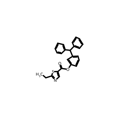 CCc1ncc(C(=O)Oc2cccc(C(c3ccccc3)c3ccccc3)c2)s1